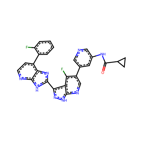 O=C(Nc1cncc(-c2cnc3[nH]nc(-c4nc5c(-c6ccccc6F)ccnc5[nH]4)c3c2F)c1)C1CC1